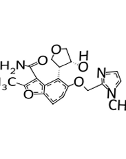 Cc1oc2ccc(OCc3nccn3C)c([C@@H]3COC[C@@H]3O)c2c1C(N)=O